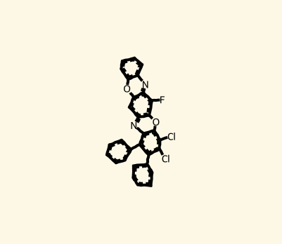 Fc1c2c(cc3c1=Nc1ccccc1O3)=Nc1c(c(Cl)c(Cl)c(-c3ccccc3)c1-c1ccccc1)O2